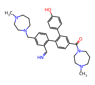 CN1CCCN(Cc2ccc(-c3ccc(C(=O)N4CCCN(C)CC4)cc3-c3ccc(O)cc3)c(C=N)c2)CC1